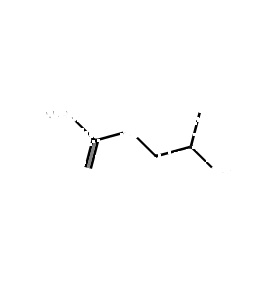 CCCC(C)COC(=O)[N]C